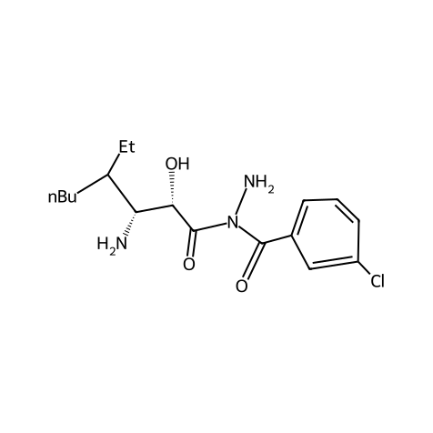 CCCCC(CC)[C@@H](N)[C@H](O)C(=O)N(N)C(=O)c1cccc(Cl)c1